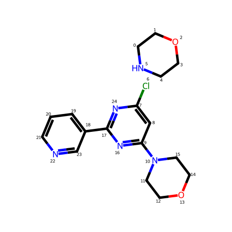 C1COCCN1.Clc1cc(N2CCOCC2)nc(-c2cccnc2)n1